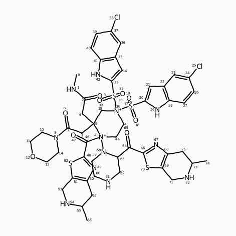 CNC(=O)CC1(CC(=O)N2CCOCC2)C[N+](S(=O)(=O)c2cc3cc(Cl)ccc3[nH]2)(S(=O)(=O)c2cc3cc(Cl)ccc3[nH]2)CC[N+]1(C(=O)c1nc2c(s1)CNC(C)C2)N1CCNCC1C(=O)c1nc2c(s1)CNC(C)C2